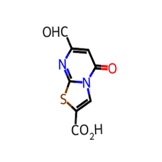 O=Cc1cc(=O)n2cc(C(=O)O)sc2n1